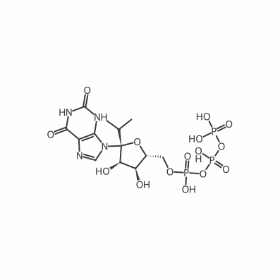 CC(C)[C@@]1(n2cnc3c(=O)[nH]c(=O)[nH]c32)O[C@H](COP(=O)(O)OP(=O)(O)OP(=O)(O)O)[C@@H](O)[C@H]1O